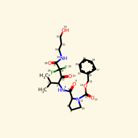 CC(C)C(NC(=O)C1CCCN1C(=O)OCc1ccccc1)C(=O)C(F)(F)C(=O)NCCCO